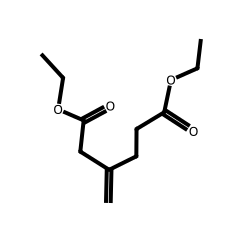 C=C(CCC(=O)OCC)CC(=O)OCC